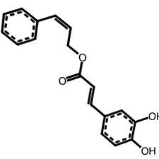 O=C(/C=C/c1ccc(O)c(O)c1)OC/C=C\c1ccccc1